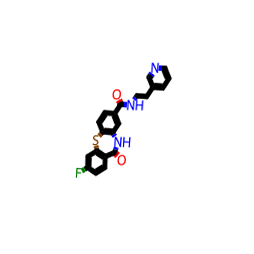 O=C(NCCc1cccnc1)c1ccc2c(c1)NC(=O)c1ccc(F)cc1S2